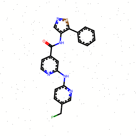 O=C(Nc1cnsc1-c1ccccc1)c1ccnc(Nc2ccc(CF)cn2)c1